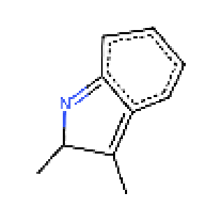 CC1=c2ccccc2=NC1C